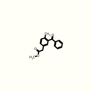 COC(=O)Cc1ccc(C)c(C(=O)c2ccccc2)c1